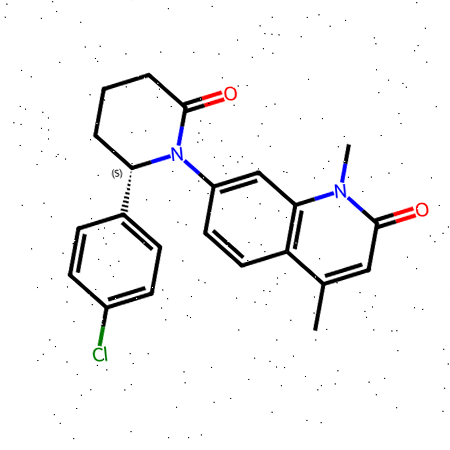 Cc1cc(=O)n(C)c2cc(N3C(=O)CCC[C@H]3c3ccc(Cl)cc3)ccc12